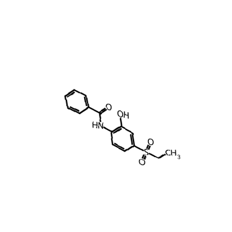 CCS(=O)(=O)c1ccc(NC(=O)c2ccccc2)c(O)c1